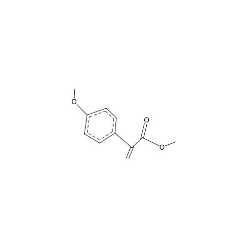 C=C(C(=O)OC)c1ccc(OC)cc1